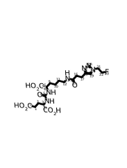 O=C(O)CC[C@H](NC(=O)N[C@@H](CCCCNC(=O)CCc1cn(CCF)nn1)C(=O)O)C(=O)O